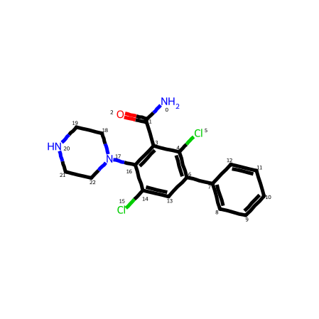 NC(=O)c1c(Cl)c(-c2ccccc2)cc(Cl)c1N1CCNCC1